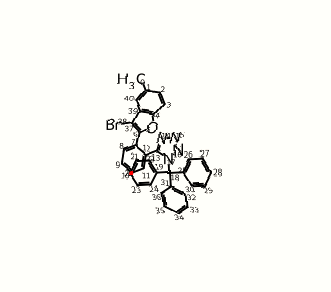 Cc1ccc2oc(-c3ccccc3-c3nnnn3C(c3ccccc3)(c3ccccc3)c3ccccc3)c(Br)c2c1